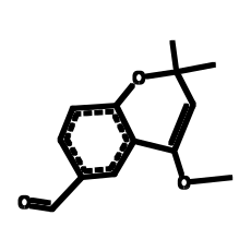 COC1=CC(C)(C)Oc2ccc(C=O)cc21